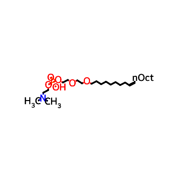 CCCCCCCC/C=C\CCCCCCCCOCCOCCOP(=O)(O)OCCN(C)C